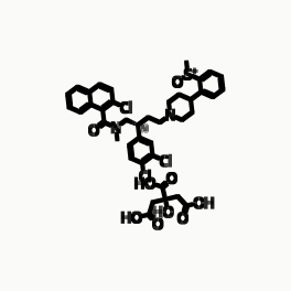 CN(C[C@@H](CCN1CCC(c2ccccc2[S+](C)[O-])CC1)c1ccc(Cl)c(Cl)c1)C(=O)c1c(Cl)ccc2ccccc12.O=C(O)CC(O)(CC(=O)O)C(=O)O